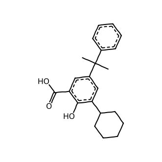 CC(C)(c1ccccc1)c1cc(C(=O)O)c(O)c(C2CCCCC2)c1